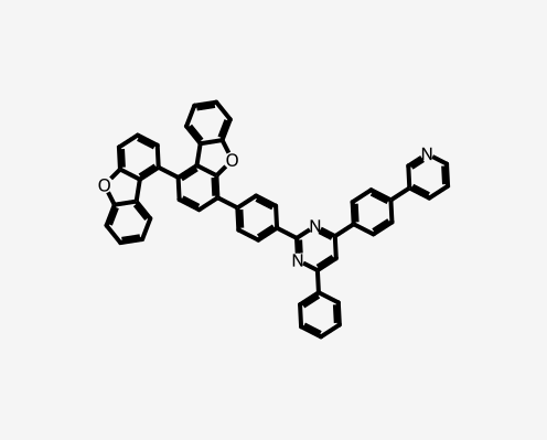 c1ccc(-c2cc(-c3ccc(-c4cccnc4)cc3)nc(-c3ccc(-c4ccc(-c5cccc6oc7ccccc7c56)c5c4oc4ccccc45)cc3)n2)cc1